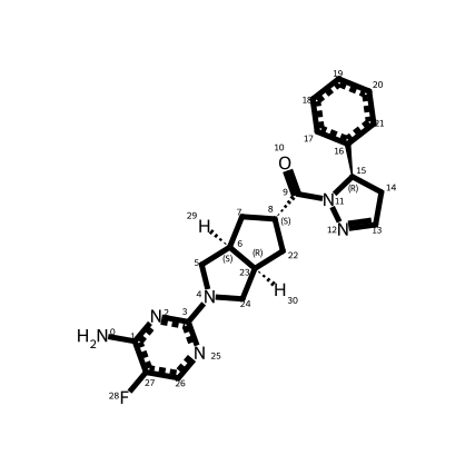 Nc1nc(N2C[C@H]3C[C@H](C(=O)N4N=CC[C@@H]4c4ccccc4)C[C@H]3C2)ncc1F